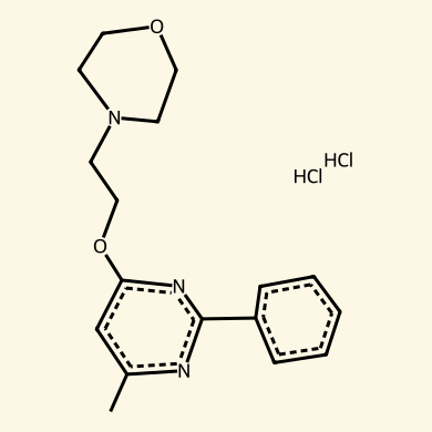 Cc1cc(OCCN2CCOCC2)nc(-c2ccccc2)n1.Cl.Cl